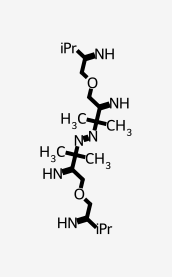 CC(C)C(=N)COCC(=N)C(C)(C)N=NC(C)(C)C(=N)COCC(=N)C(C)C